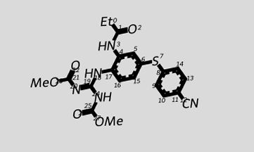 CCC(=O)Nc1cc(Sc2ccc(C#N)cc2)ccc1NC(=NC(=O)OC)NC(=O)OC